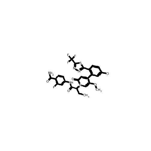 CCC(C(=O)Nc1ccc(C(N)=O)c(F)c1)n1cc(OC)c(-c2cc(Cl)ccc2-c2nnc(C(F)(F)F)s2)cc1=O